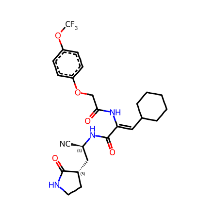 N#C[C@H](C[C@@H]1CCNC1=O)NC(=O)C(=CC1CCCCC1)NC(=O)COc1ccc(OC(F)(F)F)cc1